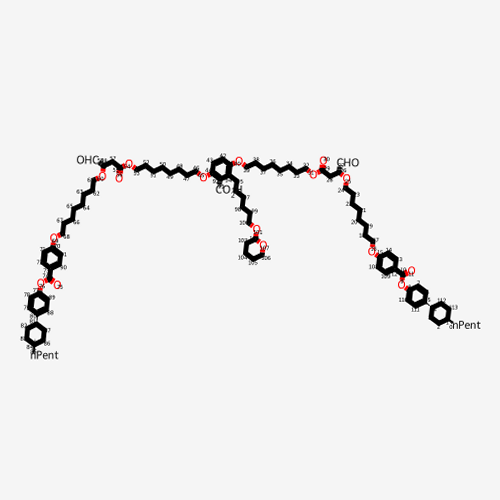 CCCCC[C@H]1CC[C@H](c2ccc(OC(=O)c3ccc(OCCCCCCCCOC(C=O)CC(=O)OCCCCCCCCOc4ccc(OCCCCCCCCOC(=O)CC(C=O)OCCCCCCCCOc5ccc(C(=O)Oc6ccc([C@H]7CC[C@H](CCCCC)CC7)cc6)cc5)c(C(=O)O)c4CCCCCCOC4CCCCO4)cc3)cc2)CC1